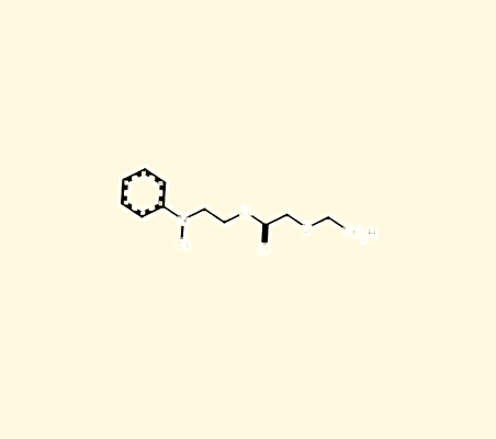 CCN(CCOC(=O)CSCC(=O)O)c1ccccc1